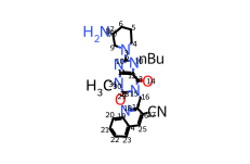 CCCCn1c(N2CCC[C@@H](N)C2)nc2c1c(=O)n(Cc1nc3ccccc3cc1C#N)c(=O)n2C